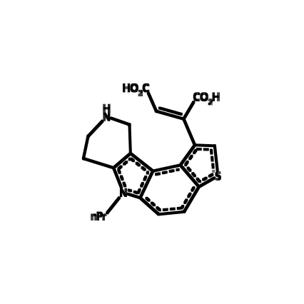 CCCn1c2c(c3c4c(C(=CC(=O)O)C(=O)O)csc4ccc31)CNCC2